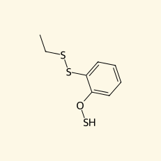 CCSSc1ccccc1OS